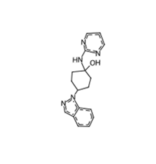 OC1(Nc2ncccn2)CCC(n2ncc3ccccc32)CC1